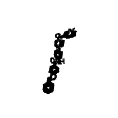 O=C(Nc1ccc(N2CCN(C(=O)c3cccnc3)CC2)cc1)c1ccc(OCc2ccccc2)cc1